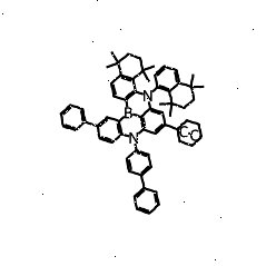 CC1(C)CCC(C)(C)c2c(N3c4cc(C56CCC(CC5)CC6)cc5c4B(c4cc(-c6ccccc6)ccc4N5c4ccc(-c5ccccc5)cc4)c4ccc5c(c43)C(C)(C)CCC5(C)C)cccc21